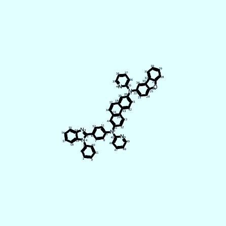 c1ccc(-n2c(-c3ccc(N(c4ccc5c(ccc6cc(N(c7ccc8oc9ccccc9c8c7)c7ccccn7)ccc65)c4)c4ccccn4)cc3)nc3ccccc32)cc1